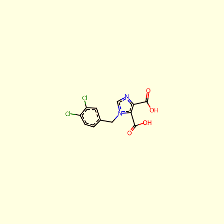 O=C(O)c1ncn(Cc2ccc(Cl)c(Cl)c2)c1C(=O)O